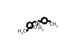 C=CC1=CC=CC(C)(CN(CO)CC2=CC=C(C=C)C=CC2)C=C1